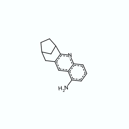 Nc1cccc2nc3c(cc12)CC1CCC3C1